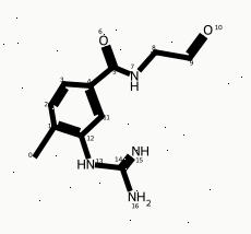 Cc1ccc(C(=O)N[CH]C=O)cc1NC(=N)N